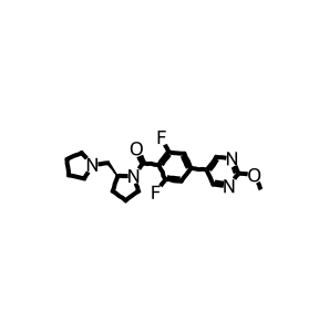 COc1ncc(-c2cc(F)c(C(=O)N3CCC[C@H]3CN3CCCC3)c(F)c2)cn1